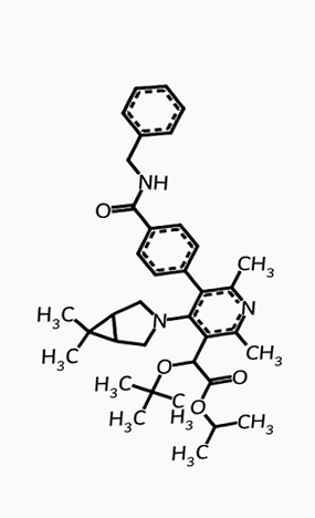 Cc1nc(C)c(C(OC(C)(C)C)C(=O)OC(C)C)c(N2CC3C(C2)C3(C)C)c1-c1ccc(C(=O)NCc2ccccc2)cc1